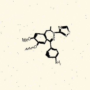 COc1cc2c(cc1OC)C(c1ccc(N)cc1)=NN(c1ncon1)C(C)C2